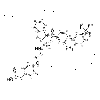 Cc1cc(S(=O)(=O)N2c3ccccc3C[C@H]2C(=O)NCCOc2ccc(CC(=O)O)cc2)ccc1-c1cccc(C(F)(F)F)c1